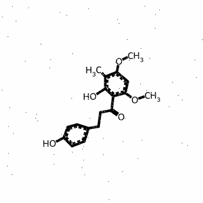 COc1cc(OC)c(C(=O)CCc2ccc(O)cc2)c(O)c1C